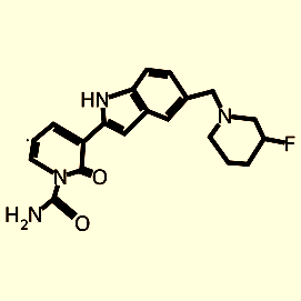 NC(=O)n1c[c]cc(-c2cc3cc(CN4CCCC(F)C4)ccc3[nH]2)c1=O